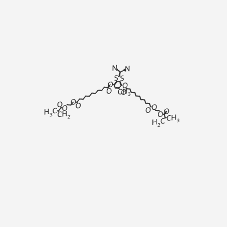 C=C(C)C(=O)OCCOC(=O)CCCCCCCCCC(=O)Oc1cc(C)c(OC(=O)CCCCCCCCCC(=O)OCCOC(=O)C(=C)C)c2c1SC(=C(C#N)C#N)S2